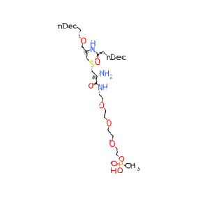 CCCCCCCCCCCCOC[C@H](CSC[C@H](N)C(=O)NCCOCCOCCOCCOP(C)(=O)O)NC(=O)CCCCCCCCCCC